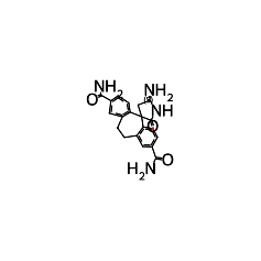 NC(=O)c1ccc2c(c1)CCc1cc(C(N)=O)ccc1C21C[C@@H](N)NC1=O